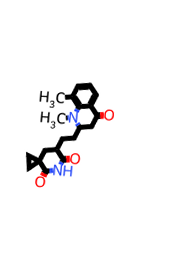 Cc1cccc2c1N(C)C(CCC1CC3(CC3)C(=O)NC1=O)CC2=O